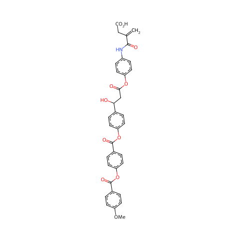 C=C(CC(=O)O)C(=O)Nc1ccc(OC(=O)CC(O)c2ccc(OC(=O)c3ccc(OC(=O)c4ccc(OC)cc4)cc3)cc2)cc1